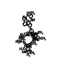 CC[C@H]1OC(=O)[C@H](C)[C@@H](O[C@H]2C[C@@](C)(OC)[C@@H](O)[C@H](C)O2)[C@H](C)[C@@H](O[C@@H]2O[C@H](C)CC(N(C)C)C2OC(=O)CN2CCN(c3ccc(C(=O)Nc4ccc(C)c(Nc5nccc(-c6cccnc6)n5)c4)cc3)CC2)[C@](C)(O)C[C@@H](C)CN(C)[C@H](C)[C@@H](O)[C@]1(C)O